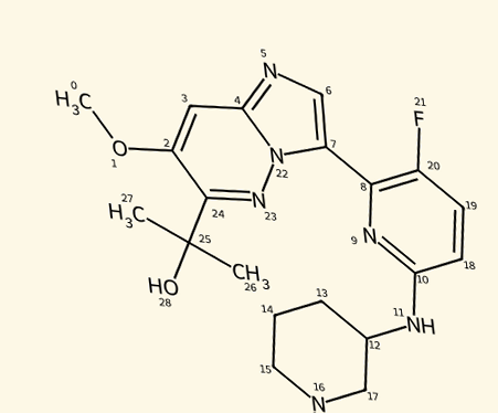 COc1cc2ncc(-c3nc(NC4CCCNC4)ccc3F)n2nc1C(C)(C)O